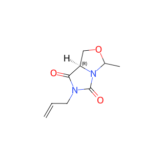 C=CCN1C(=O)[C@H]2COC(C)N2C1=O